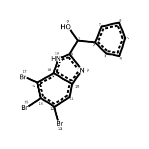 OC(c1ccccc1)c1nc2cc(Br)c(Br)c(Br)c2[nH]1